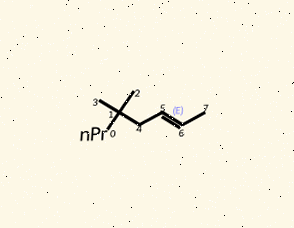 [CH2]CCC(C)(C)C/C=C/C